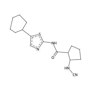 N#CNC1CCCC1C(=O)Nc1ncc(C2CCCCC2)s1